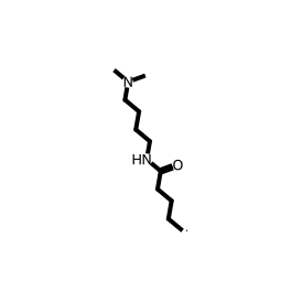 [CH2]CCCC(=O)NCCCCN(C)C